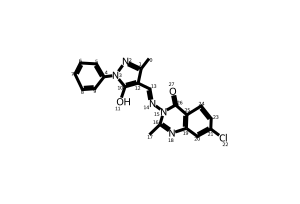 Cc1nn(-c2ccccc2)c(O)c1C=Nn1c(C)nc2cc(Cl)ccc2c1=O